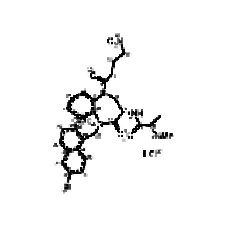 CN[C@@H](C)C(=O)N[C@H]1CN(C(=O)CCC[N+](=O)[O-])c2ccccc2N(Cc2c(OC)ccc3cc(Br)ccc23)C1=O.Cl